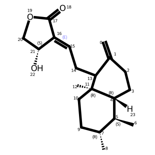 C=C1CC[C@@H]2[C@@H](C)[C@H](C)CC[C@@]2(C)C1C/C=C1/C(=O)OC[C@H]1O